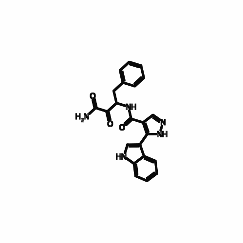 NC(=O)C(=O)C(Cc1ccccc1)NC(=O)c1cn[nH]c1-c1c[nH]c2ccccc12